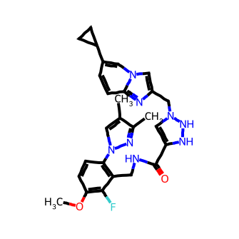 COc1ccc(-n2cc(C)c(C)n2)c(CNC(=O)C2=CN(Cc3cn4cc(C5CC5)ccc4n3)NN2)c1F